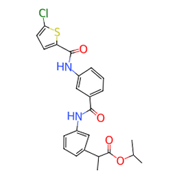 CC(C)OC(=O)C(C)c1cccc(NC(=O)c2cccc(NC(=O)c3ccc(Cl)s3)c2)c1